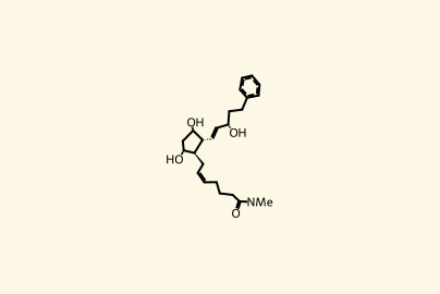 CNC(=O)CCC/C=C\C[C@@H]1[C@@H](/C=C/[C@@H](O)CCc2ccccc2)[C@H](O)C[C@@H]1O